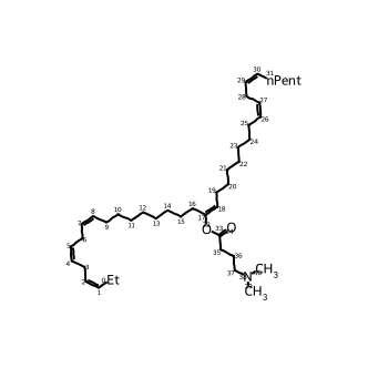 CC/C=C\C/C=C\C/C=C\CCCCCCCC/C(=C\CCCCCCC/C=C\C/C=C\CCCCC)OC(=O)CCCN(C)C